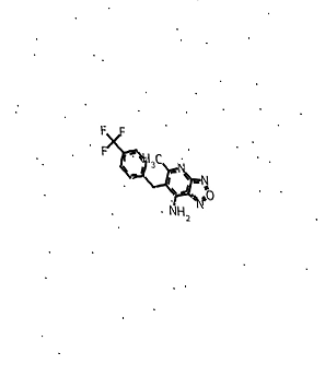 Cc1nc2nonc2c(N)c1Cc1ccc(C(F)(F)F)cc1